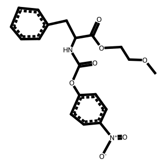 COCCOC(=O)C(Cc1ccccc1)NC(=O)Oc1ccc([N+](=O)[O-])cc1